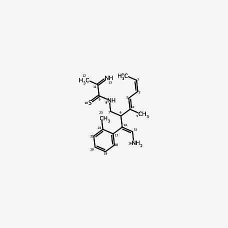 C/C=C\C=C(/C)C(CNC(=S)C(C)=N)/C(=C/N)c1ccccc1C